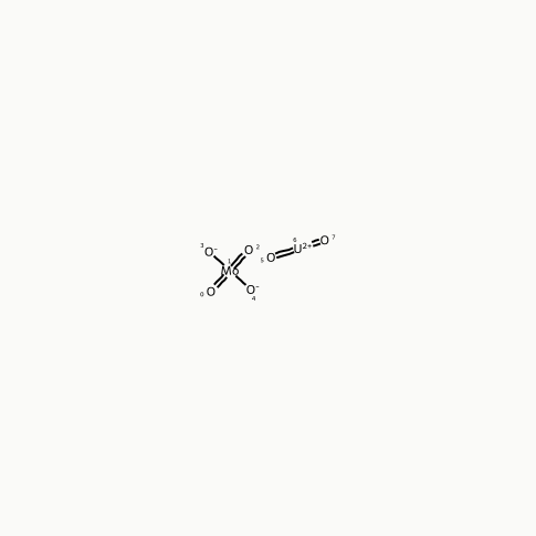 [O]=[Mo](=[O])([O-])[O-].[O]=[U+2]=[O]